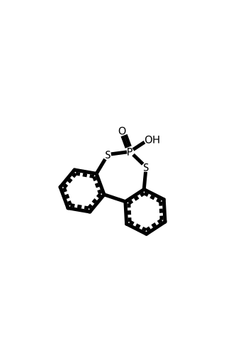 O=P1(O)Sc2ccccc2-c2ccccc2S1